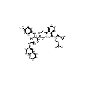 CC(C)CCN(CC1CC1)C(C)c1ccccc1N1CCN(C(=O)C(Cc2ccc(Cl)cc2)NC(=O)Oc2ccc3ncccc3c2)CC1